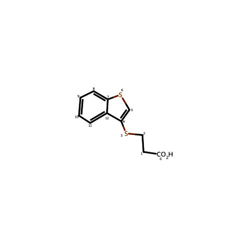 O=C(O)CCSc1csc2ccccc12